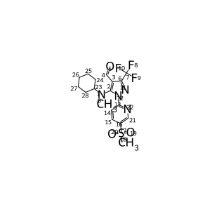 CN(c1c(C=O)c(C(F)(F)F)nn1-c1ccc(S(C)(=O)=O)cn1)C1CCCCC1